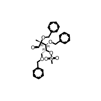 C[C@@](C=O)(OCc1ccccc1)[C@H](OCc1ccccc1)[C@@H](COCc1ccccc1)OS(C)(=O)=O